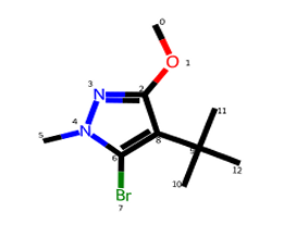 COc1nn(C)c(Br)c1C(C)(C)C